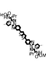 COC(=O)N[C@H](C(=O)N1C[C@@H](C)C[C@H]1c1nc2cc(-c3cc4cc(-c5ccc6[nH]c([C@@H]7C[C@H](C)CN7C(=O)[C@@H](NC(=O)OC)C(C)C)nc6c5)sc4s3)ccc2[nH]1)C(C)C